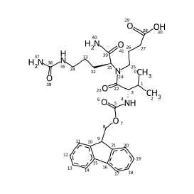 CC(C)[C@H](NC(=O)OCC1c2ccccc2-c2ccccc21)C(=O)N(CCCC(=O)O)[C@@H](CCCNC(N)=O)C(N)=O